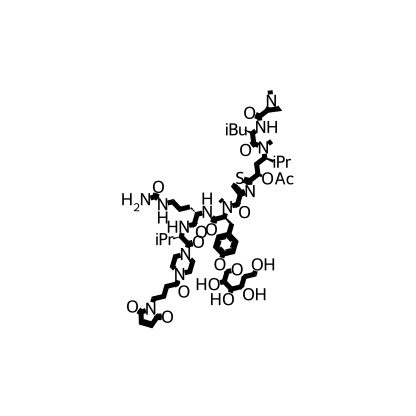 CC[C@H](C)C(NC(=O)C1CN1C)C(=O)N(C)[C@H](C[C@@H](OC(C)=O)c1nc(C(=O)N(C)[C@@H](Cc2ccc(OC3OC(CO)C(O)C(O)C3O)cc2)C(=O)N[C@@H](CCCNC(N)=O)C(=O)N[C@H](C(=O)N2CCN(C(=O)CCCN3C(=O)C=CC3=O)CC2)C(C)C)cs1)C(C)C